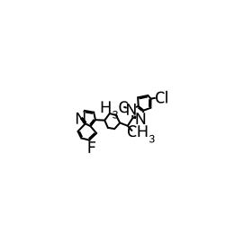 CC(c1nc2cc(Cl)ccc2n1C)C1CCC(c2ccnc3ccc(F)cc23)CC1